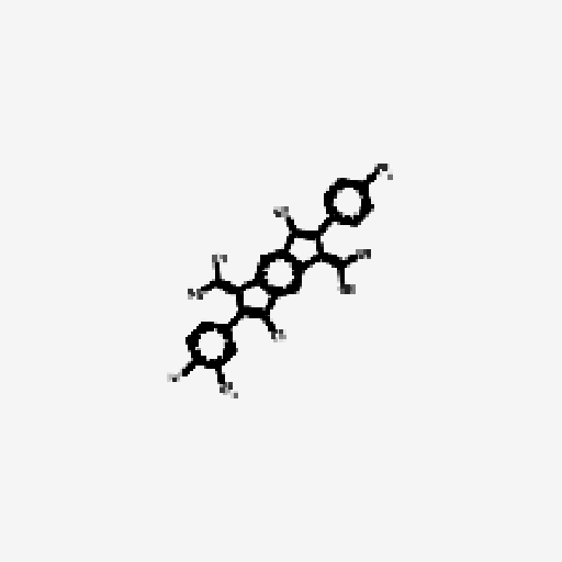 N#CC(C#N)=C1C(c2ccc(C(F)(F)F)cc2)=C(C#N)c2cc3c(cc21)C(C#N)=C(c1ccc(C#N)c(C(F)(F)F)c1)C3=C(C#N)C#N